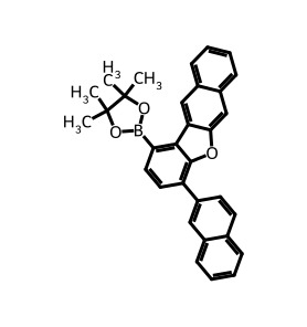 CC1(C)OB(c2ccc(-c3ccc4ccccc4c3)c3oc4cc5ccccc5cc4c23)OC1(C)C